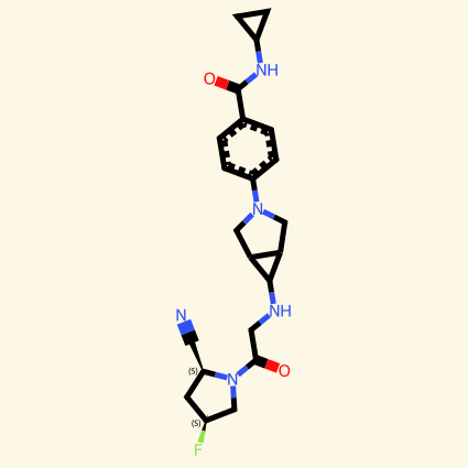 N#C[C@@H]1C[C@H](F)CN1C(=O)CNC1C2CN(c3ccc(C(=O)NC4CC4)cc3)CC21